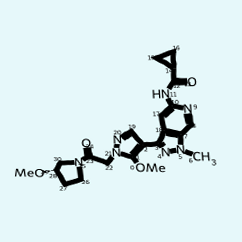 COc1c(-c2nn(C)c3cnc(NC(=O)C4CC4)cc23)cnn1CC(=O)N1CC[C@H](OC)C1